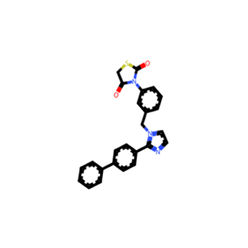 O=C1CSC(=O)N1c1cccc(Cn2ccnc2-c2ccc(-c3ccccc3)cc2)c1